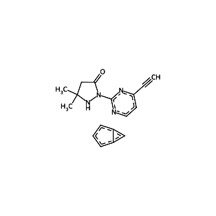 C#Cc1ccnc(N2NC(C)(C)CC2=O)n1.c1cc2cc-2c1